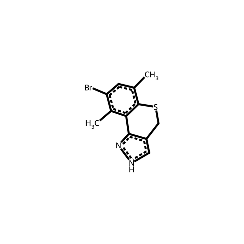 Cc1cc(Br)c(C)c2c1SCc1c[nH]nc1-2